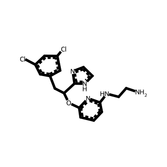 NCCNc1cccc(OC(Cc2cc(Cl)cc(Cl)c2)c2ncc[nH]2)n1